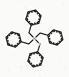 c1ccc(C[Si](Cc2ccccc2)(Cc2ccccc2)Oc2ccccc2)cc1